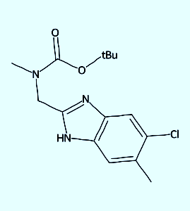 Cc1cc2[nH]c(CN(C)C(=O)OC(C)(C)C)nc2cc1Cl